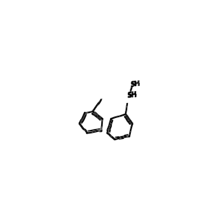 Cc1ccccc1.Cc1ccccc1.SS